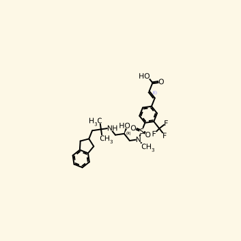 CN(C[C@H](O)CNC(C)(C)CC1Cc2ccccc2C1)S(=O)(=O)c1ccc(/C=C/C(=O)O)cc1C(F)(F)F